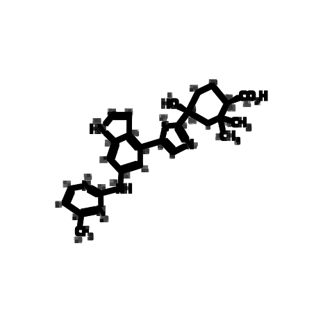 CC1(C)C[C@](O)(c2ncc(-c3cc(Nc4nccc(C(F)(F)F)n4)cc4[nH]ccc34)s2)CC[C@H]1C(=O)O